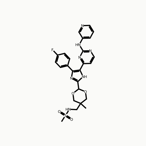 CC1(CNS(C)(=O)=O)COC(c2nc(-c3ccc(F)cc3)c(-c3ccnc(Nc4cccnc4)n3)[nH]2)OC1